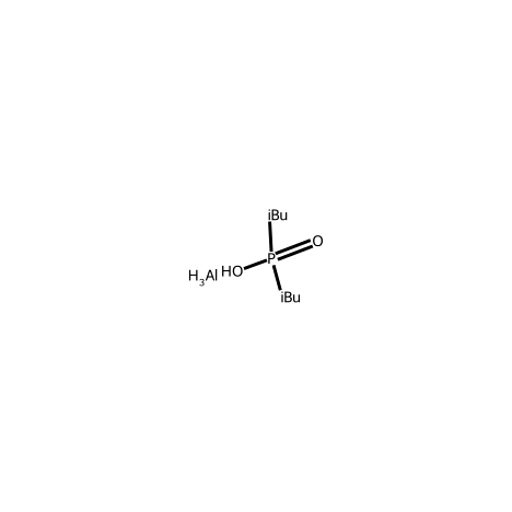 CCC(C)P(=O)(O)C(C)CC.[AlH3]